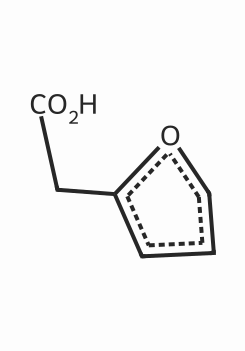 O=C(O)Cc1ccco1